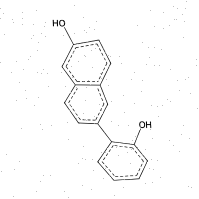 Oc1ccc2cc(-c3ccccc3O)ccc2c1